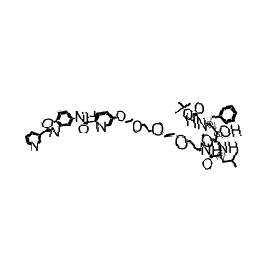 CC(C)C[C@H](NC(=O)[C@@H](O)[C@@H](Cc1ccccc1)NC(=O)OC(C)(C)C)C(=O)NCCOCCOCCOCCOc1ccc(C(=O)Nc2ccc3oc(-c4cccnc4)nc3c2)nc1